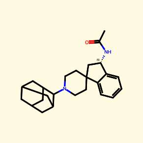 CC(=O)N[C@H]1CC2(CCN(C3C4CC5CC(C4)CC3C5)CC2)c2ccccc21